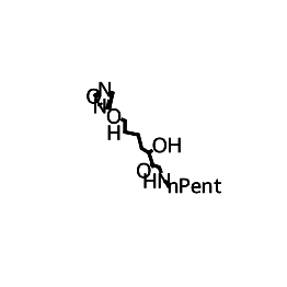 CCCCCNCC(=O)C(O)CCCCO.c1cnon1